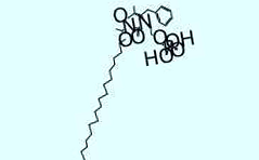 CCCCCCCCCCCCCCCCCCOC(C)n1c(=O)c(C)c(Cc2ccccc2)n(CCOCP(=O)(O)O)c1=O